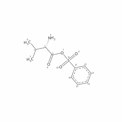 CC(C)[C@H](N)C(=O)OS(=O)(=O)c1ccccc1